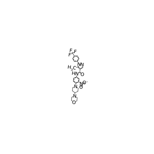 Cc1c(C(=O)Nc2ccc(N3CCC(N4CCOCC4)CC3)c([N+](=O)[O-])c2)cnn1-c1ccc(C(F)(F)F)cc1